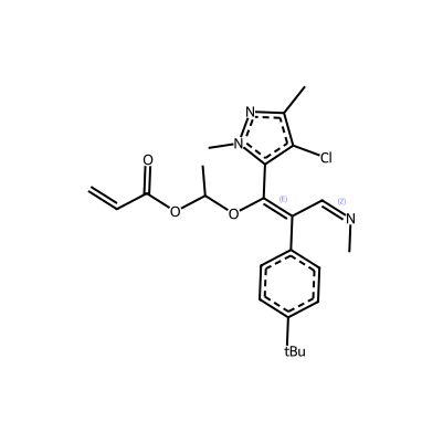 C=CC(=O)OC(C)O/C(=C(/C=N\C)c1ccc(C(C)(C)C)cc1)c1c(Cl)c(C)nn1C